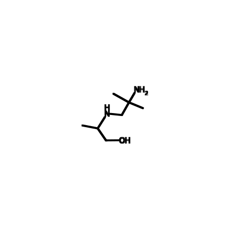 CC(CO)NCC(C)(C)N